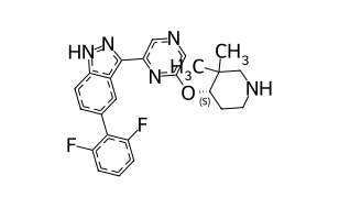 CC1(C)CNCC[C@@H]1Oc1cncc(-c2n[nH]c3ccc(-c4c(F)cccc4F)cc23)n1